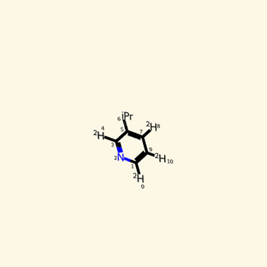 [2H]c1nc([2H])c(C(C)C)c([2H])c1[2H]